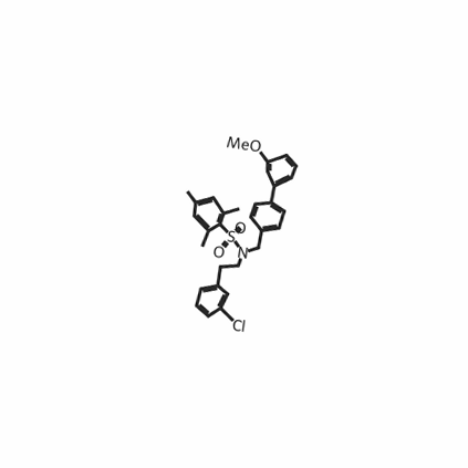 COc1cccc(-c2ccc(CN(CCc3cccc(Cl)c3)S(=O)(=O)c3c(C)cc(C)cc3C)cc2)c1